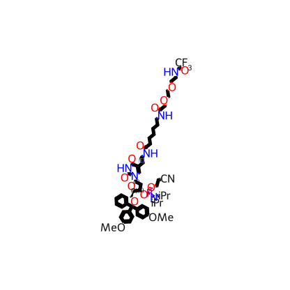 COc1ccc(C(OC[C@H]2O[C@@H](n3cc(/C=C/NC(=O)CCCCCCNC(=O)COCCOCCNC(=O)C(F)(F)F)c(=O)[nH]c3=O)C[C@@H]2OP(OCCC#N)N(C(C)C)C(C)C)(c2ccccc2)c2ccc(OC)cc2)cc1